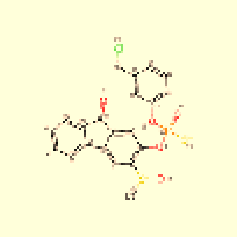 CC[S+]([O-])c1cc2c(cc1OP(=O)(S)Oc1cccc(CCl)c1)C(=O)c1ccccc1-2